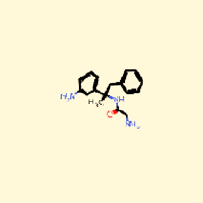 CC(Cc1ccccc1)(NC(=O)CN)c1cccc(N)c1